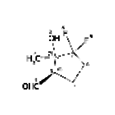 C[C@@]1(O)[C@H](C=O)CCC1(F)F